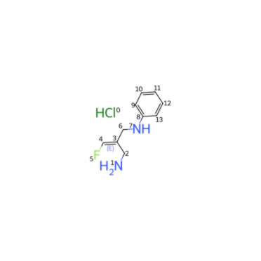 Cl.NC/C(=C\F)CNc1ccccc1